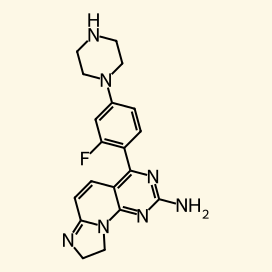 Nc1nc(-c2ccc(N3CCNCC3)cc2F)c2c(n1)N1CCN=C1C=C2